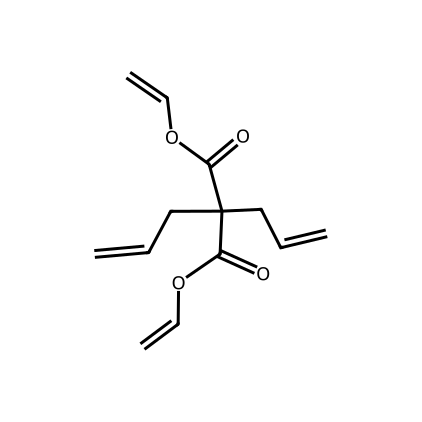 C=CCC(CC=C)(C(=O)OC=C)C(=O)OC=C